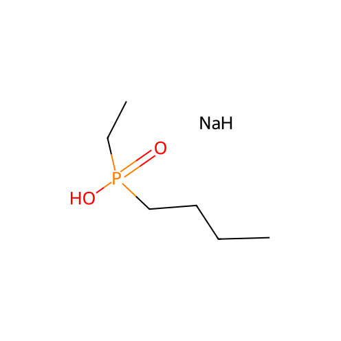 CCCCP(=O)(O)CC.[NaH]